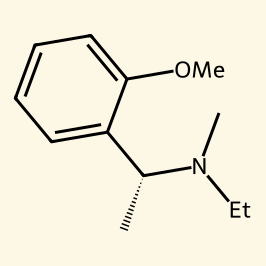 CCN(C)[C@H](C)c1ccccc1OC